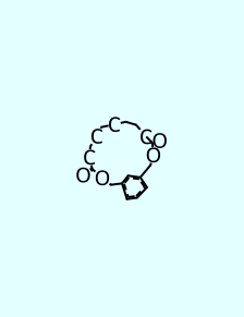 O=C1CCCCCCCCC(=O)OCc2cccc(c2)CO1